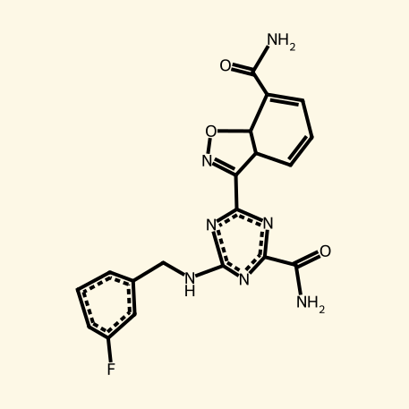 NC(=O)C1=CC=CC2C(c3nc(NCc4cccc(F)c4)nc(C(N)=O)n3)=NOC12